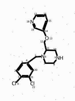 Clc1ccc(CN2CCNCC2COc2cccnc2)cc1Cl